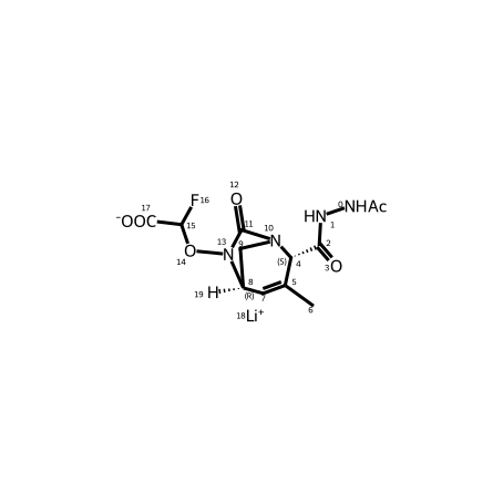 CC(=O)NNC(=O)[C@@H]1C(C)=C[C@@H]2CN1C(=O)N2OC(F)C(=O)[O-].[Li+]